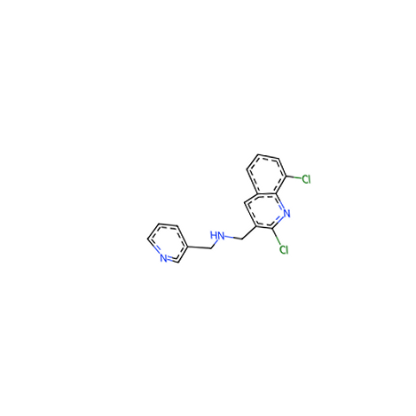 Clc1nc2c(Cl)cccc2cc1CNCc1cccnc1